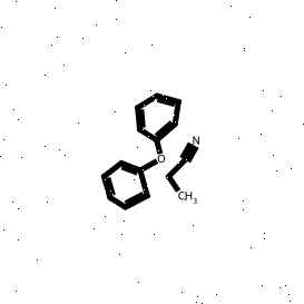 CCC#N.c1ccc(Oc2ccccc2)cc1